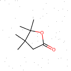 CC1(C)CC(=O)OC1(C)C